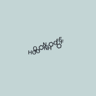 O=C(O)Oc1ccc2nc(-c3ccc(Oc4ccccc4C(F)(F)F)cc3)[nH]c2c1